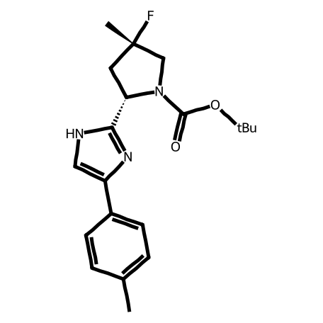 Cc1ccc(-c2c[nH]c([C@@H]3C[C@](C)(F)CN3C(=O)OC(C)(C)C)n2)cc1